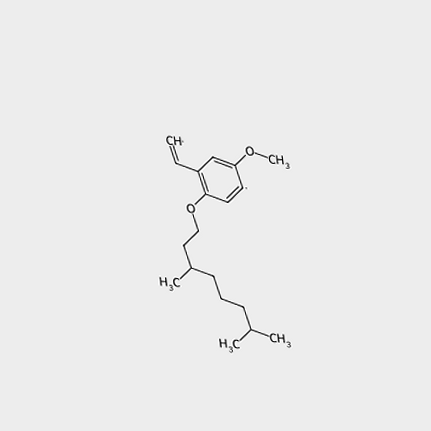 [CH]=Cc1cc(OC)[c]cc1OCCC(C)CCCC(C)C